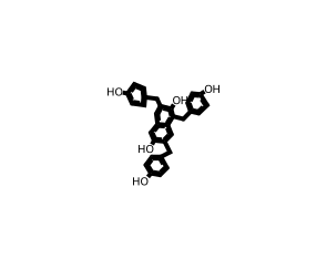 Oc1ccc(Cc2cc3c(Cc4ccc(O)cc4)c(O)c(Cc4ccc(O)cc4)cc3cc2O)cc1